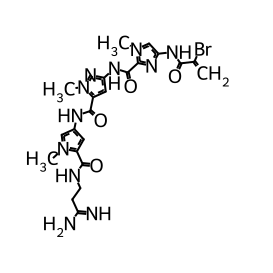 C=C(Br)C(=O)Nc1cn(C)c(C(=O)Nc2cc(C(=O)Nc3cc(C(=O)NCCC(=N)N)n(C)c3)n(C)n2)n1